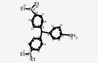 CCN(CC)c1ccc(C(c2ccc(N)cc2)c2ccc(N(CC)CC)cc2)cc1